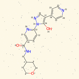 O=C(NCC1CCOCC1)c1ccc(-n2ncc(-c3ccncc3)c2O)nc1